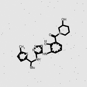 Cc1ccc(C(Nc2nsnc2Nc2cccc(C(=O)N3CCCC(O)C3)c2O)C(C)(C)C)s1